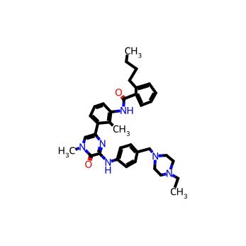 CCCCc1ccccc1C(=O)Nc1cccc(-c2cn(C)c(=O)c(Nc3ccc(CN4CCN(CC)CC4)cc3)n2)c1C